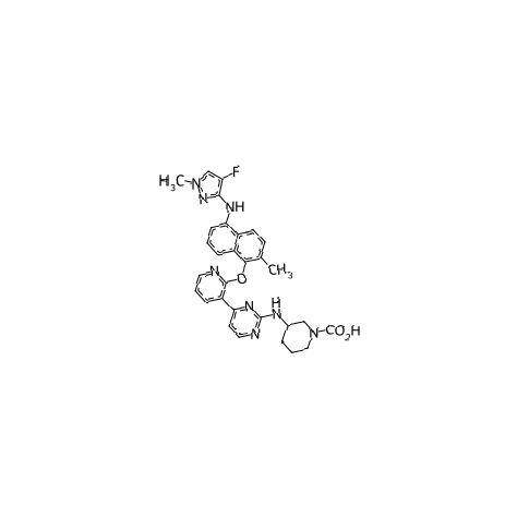 Cc1ccc2c(Nc3nn(C)cc3F)cccc2c1Oc1ncccc1-c1ccnc(NC2CCCN(C(=O)O)C2)n1